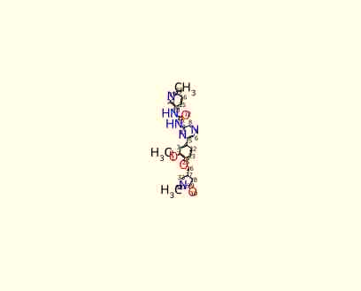 COc1cc(-c2cncc(NC(=O)Nc3ccc(C)nc3)n2)ccc1OC[C@H]1CC(=O)N(C)C1